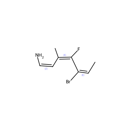 C\C=C(Br)/C(F)=C(C)\C=C/N